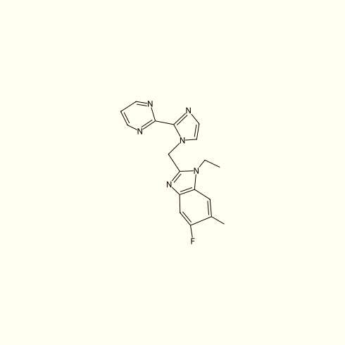 CCn1c(Cn2ccnc2-c2ncccn2)nc2cc(F)c(C)cc21